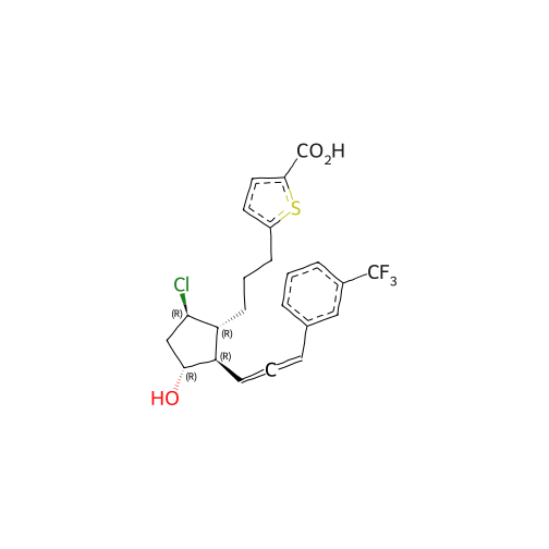 O=C(O)c1ccc(CCC[C@@H]2[C@@H](C=C=Cc3cccc(C(F)(F)F)c3)[C@H](O)C[C@H]2Cl)s1